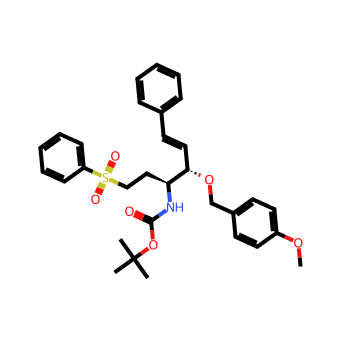 COc1ccc(CO[C@@H](/C=C/c2ccccc2)[C@H](CCS(=O)(=O)c2ccccc2)NC(=O)OC(C)(C)C)cc1